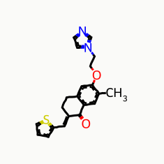 Cc1cc2c(cc1OCCn1ccnc1)CC/C(=C\c1cccs1)C2=O